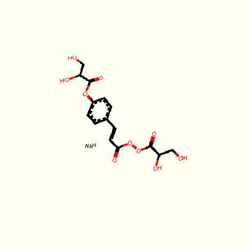 O=C(C=Cc1ccc(OC(=O)C(O)CO)cc1)OOC(=O)C(O)CO.[NaH]